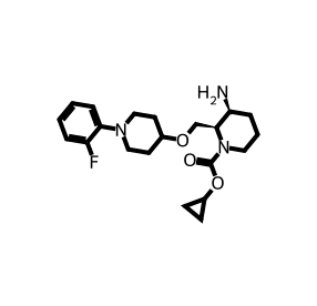 N[C@H]1CCCN(C(=O)OC2CC2)[C@H]1COC1CCN(c2ccccc2F)CC1